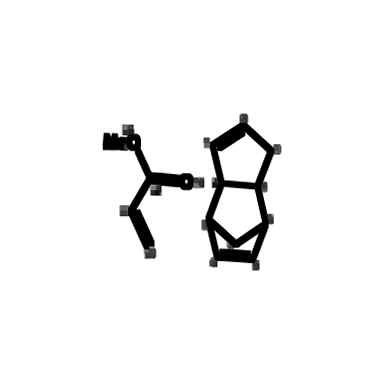 C1=CC2C3C=CC(C3)C2C1.C=CC(=O)OC